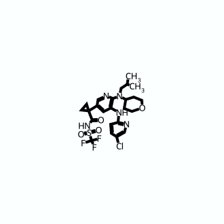 CC(C)CN(c1ncc(C2(C(=O)NS(=O)(=O)C(F)(F)F)CC2)cc1Nc1ccc(Cl)cn1)C1CCOCC1